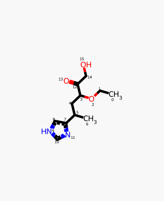 CCOC(CC(C)c1c[nH]cn1)C(=O)CO